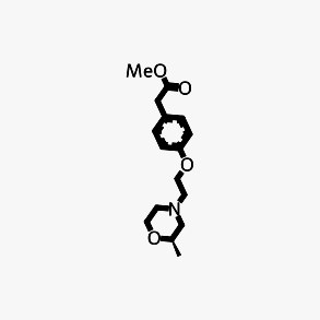 COC(=O)Cc1ccc(OCCN2CCO[C@H](C)C2)cc1